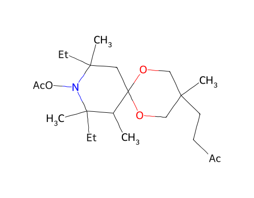 CCC1(C)CC2(OCC(C)(CCC(C)=O)CO2)C(C)C(C)(CC)N1OC(C)=O